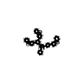 c1ccc(-c2nc(-c3ccc(-c4ccc5oc6ccccc6c5c4)cc3)cc(-c3cc(-c4ccc5oc6ccccc6c5c4)cc(-c4ccc5oc6ccccc6c5c4)c3)n2)cc1